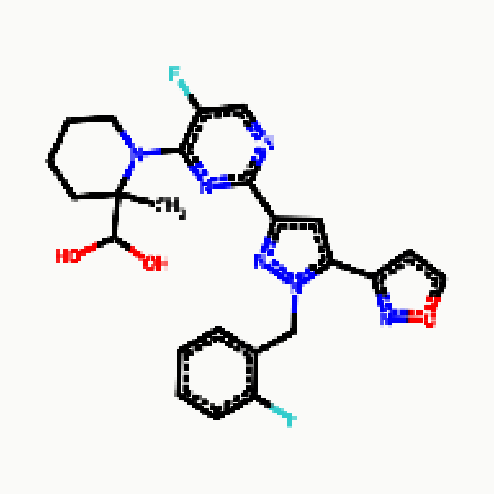 CC1(C(O)O)CCCCN1c1nc(-c2cc(-c3ccon3)n(Cc3ccccc3F)n2)ncc1F